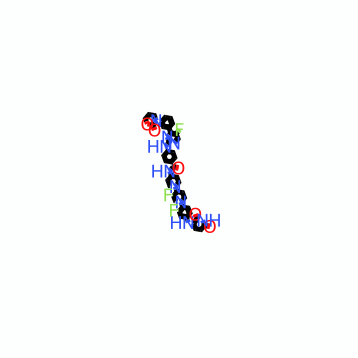 O=C1CCC(Nc2ccc(N3CCC(N4CCC(NC(=O)[C@H]5CC[C@H](Nc6ncc(F)c(-c7cccc(N8CCCOC8=O)c7)n6)CC5)CC4)C(F)C3)c(F)c2)C(=O)N1